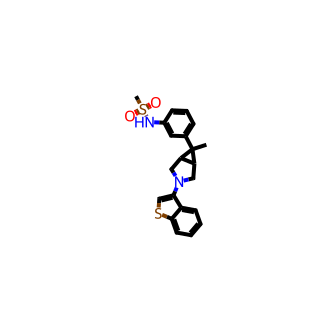 CC1(c2cccc(NS(C)(=O)=O)c2)C2CN(c3csc4ccccc34)CC21